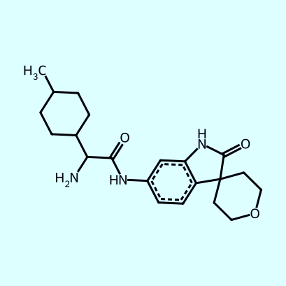 CC1CCC(C(N)C(=O)Nc2ccc3c(c2)NC(=O)C32CCOCC2)CC1